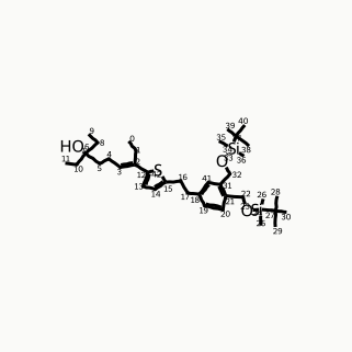 CCC(=CCCC(O)(CC)CC)c1ccc(CCc2ccc(CO[Si](C)(C)C(C)(C)C)c(CO[Si](C)(C)C(C)(C)C)c2)s1